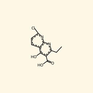 CCc1nc2nc(Cl)ccc2c(O)c1C(=O)O